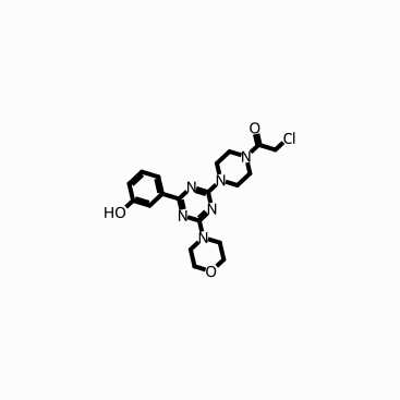 O=C(CCl)N1CCN(c2nc(-c3cccc(O)c3)nc(N3CCOCC3)n2)CC1